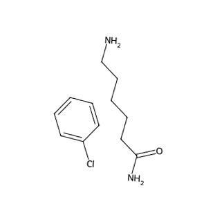 Clc1ccccc1.NCCCCCC(N)=O